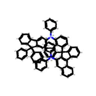 C1=CCC2C(=C1)C1(c3ccccc3-c3c1c(N(c1ccccc1)c1ccccc1)cc1ccccc31)c1cccc(N(c3ccccc3)c3ccc4c(c3)-c3ccccc3C4(c3ccccc3)c3ccccc3)c12